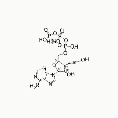 Nc1ncnc2c1ncn2[C@@H]1O[C@H](COP(=O)(O)OP(=O)(O)OP(=O)(O)O)[C@@H](C#CO)[C@H]1O